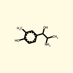 Cc1cc(C(O)C(C)N)ccc1O